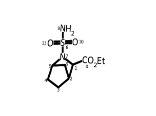 CCOC(=O)C1C2CCC(C2)N1S(N)(=O)=O